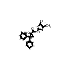 Cc1nc(NC(=O)C2(C)CC2(c2ccccc2)c2ccccc2)sc1C